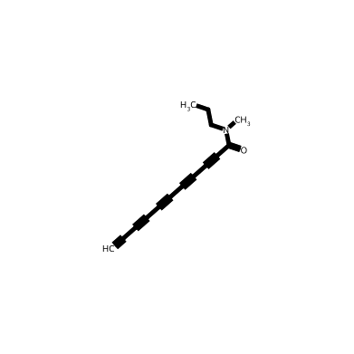 C#CC#CC#CC#CC#CC(=O)N(C)CCC